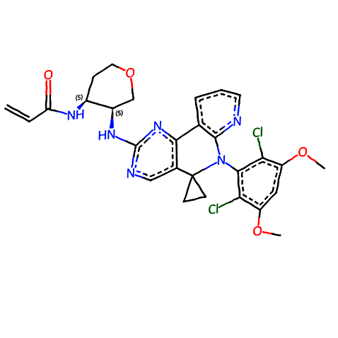 C=CC(=O)N[C@H]1CCOC[C@H]1Nc1ncc2c(n1)-c1cccnc1N(c1c(Cl)c(OC)cc(OC)c1Cl)C21CC1